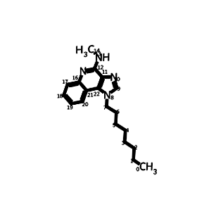 CCCCCCCCn1cnc2c(NC)nc3ccccc3c21